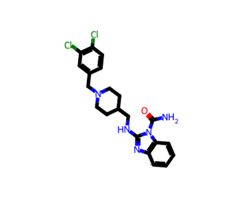 NC(=O)n1c(NCC2CCN(Cc3ccc(Cl)c(Cl)c3)CC2)nc2[c]cccc21